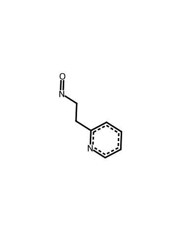 O=NCCc1ccccn1